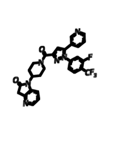 O=C(c1cc(-c2cccnc2)n(-c2ccc(C(F)(F)F)c(F)c2)n1)N1CCC(N2C(=O)Cc3ncccc32)CC1